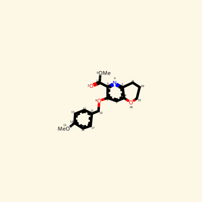 COC(=O)c1nc2c(cc1OCc1ccc(OC)cc1)OCCC2